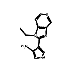 CCn1c(-c2c[nH]nc2N)nc2cnccc21